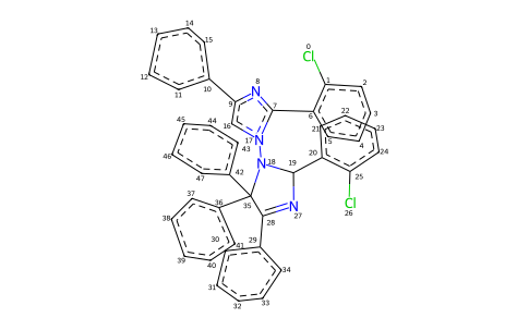 Clc1ccccc1-c1nc(-c2ccccc2)cn1N1C(c2ccccc2Cl)N=C(c2ccccc2)C1(c1ccccc1)c1ccccc1